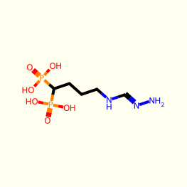 NN=CNCCCC(P(=O)(O)O)P(=O)(O)O